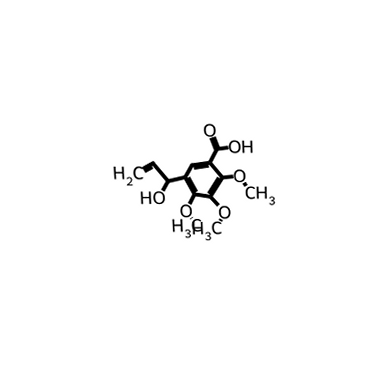 C=CC(O)c1cc(C(=O)O)c(OC)c(OC)c1OC